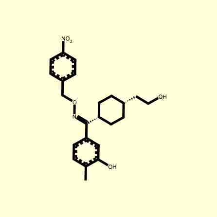 Cc1ccc(C(=NOCc2ccc([N+](=O)[O-])cc2)[C@H]2CC[C@@H](CCO)CC2)cc1O